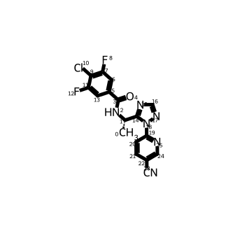 C[C@H](NC(=O)c1cc(F)c(Cl)c(F)c1)c1ncnn1-c1ccc(C#N)cn1